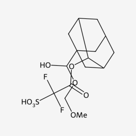 COCOC(O)C12CC3CC(C1)C(OC(=O)C(F)(F)S(=O)(=O)O)C(C3)C2